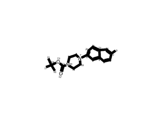 Cc1ccc2cc(N3CCN(C(=O)OC(C)(C)C)CC3)ccc2c1